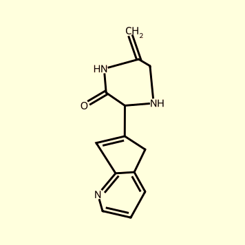 C=C1CNC(C2=Cc3ncccc3C2)C(=O)N1